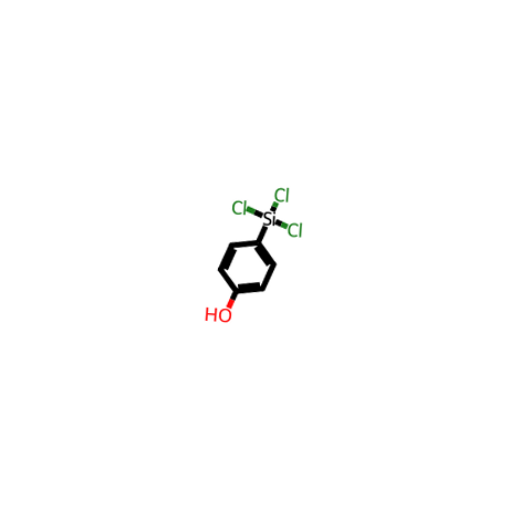 Oc1ccc([Si](Cl)(Cl)Cl)cc1